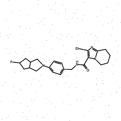 CCc1nc2n(c1C(=O)NCc1ccc(N3CC4CC(F)CC4C3)cc1)CCCC2